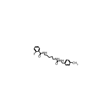 Cc1ccc(CNC(=O)NCCCCCNC(=O)c2ccccc2F)cc1